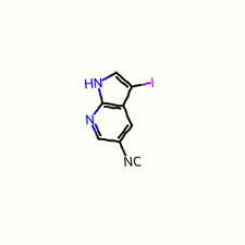 [C-]#[N+]c1cnc2[nH]cc(I)c2c1